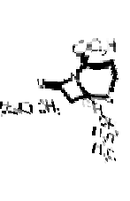 O.O.O.O.O.O.O=C(O)C1=CCS[C@@H]2CC(=O)N12